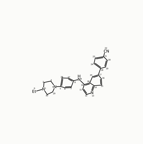 CCN1CCN(c2ccc(Nc3ccnc4ccc(-c5ccc(C#N)cc5)cc34)cc2)CC1